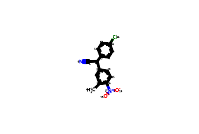 [CH2]c1cc(C(C#N)c2ccc(Cl)cc2)ccc1[N+](=O)[O-]